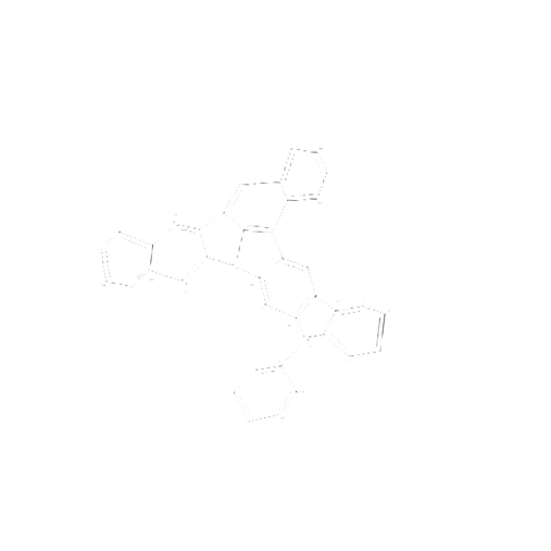 c1ccc(-n2c3ccccc3c3cc4c5c6ccccc6cc6c7nc8ccccc8nc7n(c4cc32)c65)cc1